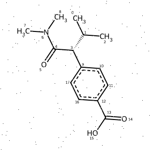 CC(C)[C@@H](C(=O)N(C)C)c1ccc(C(=O)O)cc1